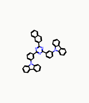 c1cc(-c2nc(-c3cccc(-n4c5ccccc5c5ccccc54)c3)nc(-c3ccc4ccccc4c3)n2)cc(-n2c3ccccc3c3ccccc32)c1